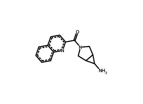 NC1C2CN(C(=O)c3ccc4ccccc4n3)CC12